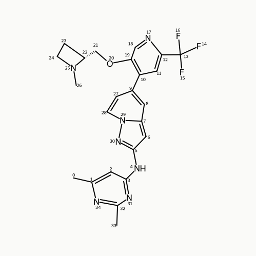 Cc1cc(Nc2cc3cc(-c4cc(C(F)(F)F)ncc4OC[C@H]4CCN4C)ccn3n2)nc(C)n1